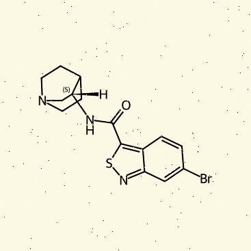 O=C(N[C@@H]1CN2CCC1CC2)c1snc2cc(Br)ccc12